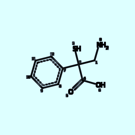 NCC(S)(C(=O)O)c1ccccc1